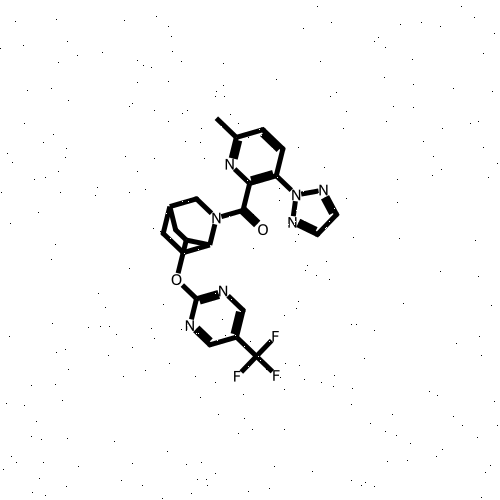 Cc1ccc(-n2nccn2)c(C(=O)N2CC3CCC2C(Oc2ncc(C(F)(F)F)cn2)C3)n1